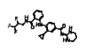 O=C(N=C1NCCCN1)c1ccc(Nc2ccccc2C(=O)NCC(F)C(F)F)c(C2CC2)c1